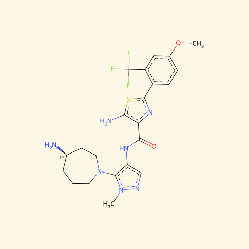 COc1ccc(-c2nc(C(=O)Nc3cnn(C)c3N3CCC[C@@H](N)CC3)c(N)s2)c(C(F)(F)F)c1